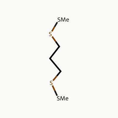 CSSCCCSSC